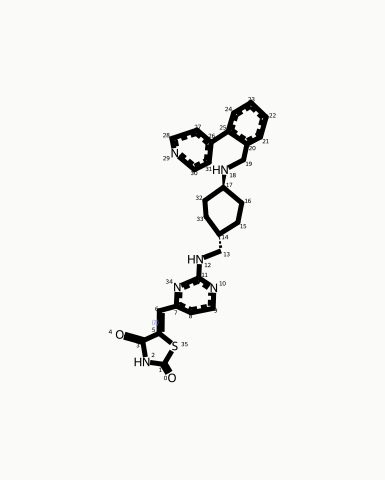 O=C1NC(=O)/C(=C/c2ccnc(NC[C@H]3CC[C@H](NCc4ccccc4-c4ccncc4)CC3)n2)S1